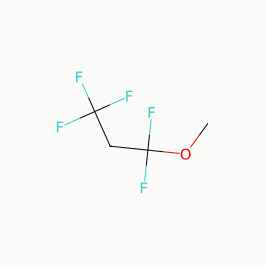 COC(F)(F)CC(F)(F)F